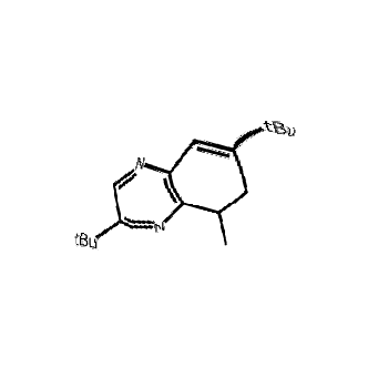 CC1CC(C(C)(C)C)=Cc2ncc(C(C)(C)C)nc21